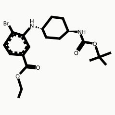 CCOC(=O)c1ccc(Br)c(N[C@H]2CC[C@H](NC(=O)OC(C)(C)C)CC2)c1